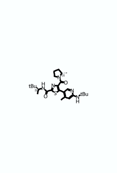 Cc1cc(NC(C)(C)C)ncc1-c1sc(C(=O)N[C@@H](C)C(C)(C)C)nc1C(=O)N1CCC[C@@H]1C